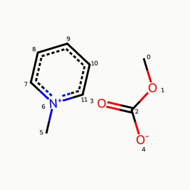 COC(=O)[O-].C[n+]1ccccc1